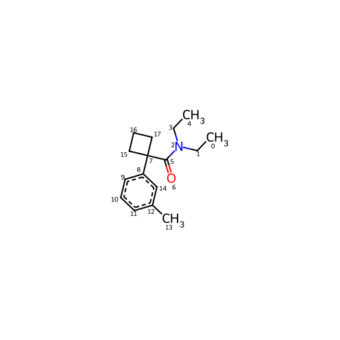 CCN(CC)C(=O)C1(c2cccc(C)c2)CCC1